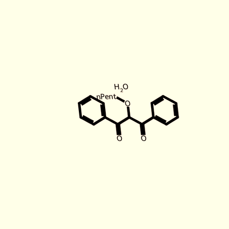 CCCCCOC(C(=O)c1ccccc1)C(=O)c1ccccc1.O